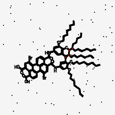 CCCCCCCCOc1cc(NC(=O)c2ccc3c4c(Br)cc(C(=O)O)c5c(C(=O)O)ccc(c6c(Br)cc(C(=O)Nc7cc(OCCCCCCCC)c(OCCCCCCCC)c(OCCCCCCCC)c7)c2c36)c54)cc(OCCCCCCCC)c1OCCCCCCCC